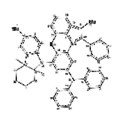 CC(C)(C)c1cc2c3c(c1)C1(C)CCCCC1(C)N3c1cc(N(c3ccccc3)c3ccccc3)cc3c1B2c1cccc2c(C(C)(C)C)c(-c4ccccc4)n-3c12